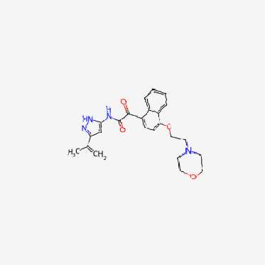 C=C(C)c1cc(NC(=O)C(=O)c2ccc(OCCN3CCOCC3)c3ccccc23)[nH]n1